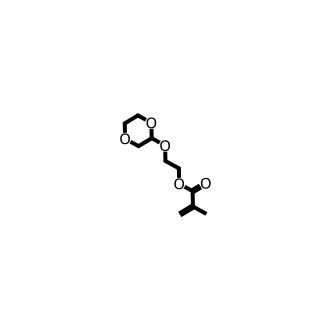 C=C(C)C(=O)OCCOC1COCCO1